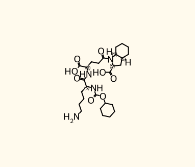 NCCCC[C@H](NC(=O)OC1CCCCC1)C(=O)N[C@H](CCC(=O)N1[C@H](C(=O)O)C[C@@H]2CCCC[C@@H]21)C(=O)O